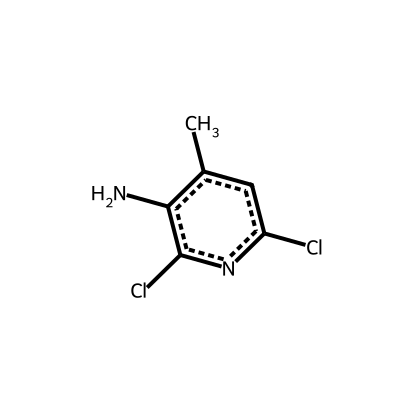 Cc1cc(Cl)nc(Cl)c1N